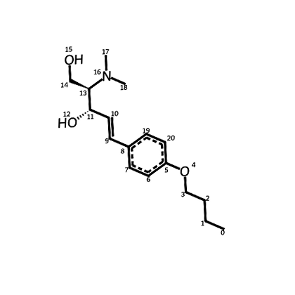 CCCCOc1ccc(/C=C/[C@H](O)[C@@H](CO)N(C)C)cc1